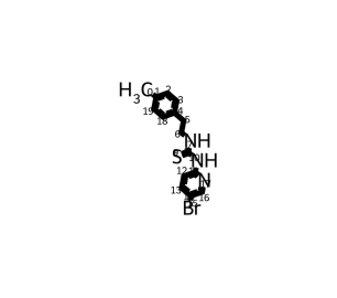 Cc1ccc(CCNC(=S)Nc2ccc(Br)cn2)cc1